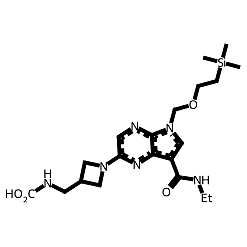 CCNC(=O)c1cn(COCC[Si](C)(C)C)c2ncc(N3CC(CNC(=O)O)C3)nc12